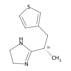 C[C@@H](Cc1ccsc1)C1=NCCN1